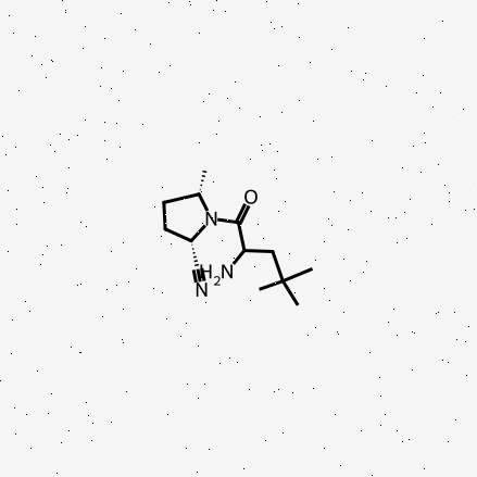 C[C@H]1CC[C@@H](C#N)N1C(=O)C(N)CC(C)(C)C